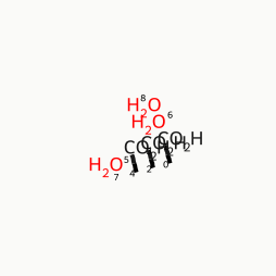 CC(=O)O.CC(=O)O.CC(=O)O.O.O.O